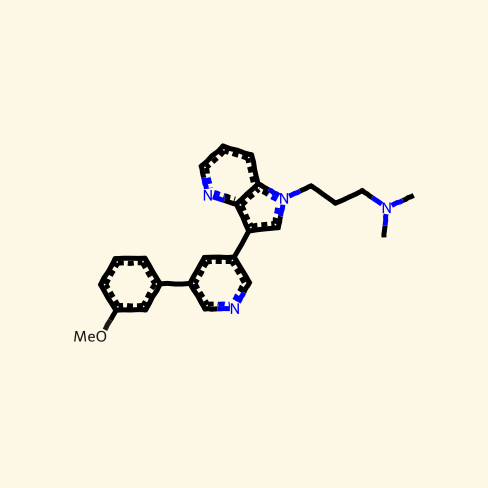 COc1cccc(-c2cncc(-c3cn(CCCN(C)C)c4cccnc34)c2)c1